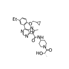 CCc1ccc(OCC2CC2)c(-c2ncnc3c(C(=O)NC4CCN(C(=O)[C@H](C)O)CC4)c(C)[nH]c23)c1